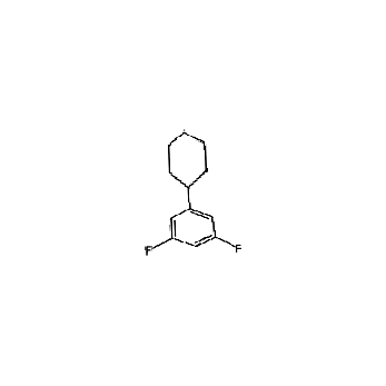 Fc1cc(F)cc(C2CC[CH]CC2)c1